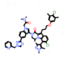 Cc1cc(OCCCc2c3n(c4c(-c5c(C)nn(C)c5C)c(Cl)ccc24)C(C)CN(c2cn(CC(=O)N(C)C)c4ccc(-c5ncn(Cc6ccccn6)n5)cc24)C3=O)cc(C)c1Cl